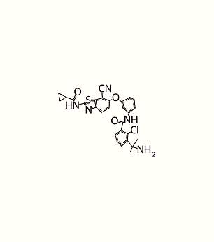 CC(C)(N)c1cccc(C(=O)Nc2cccc(Oc3ccc4nc(NC(=O)C5CC5)sc4c3C#N)c2)c1Cl